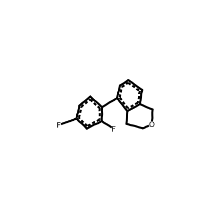 Fc1ccc(-c2cccc3c2CCOC3)c(F)c1